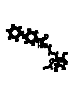 CCO[Si](CCCNC(=O)c1ccc(-c2ccccc2)cc1)(C(C)C)C(C)C